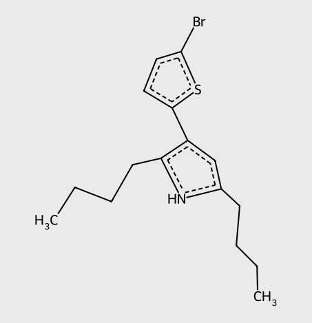 CCCCc1cc(-c2ccc(Br)s2)c(CCCC)[nH]1